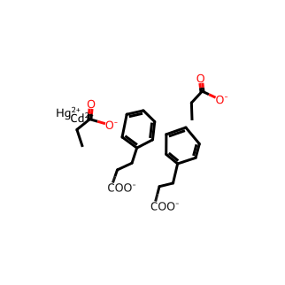 CCC(=O)[O-].CCC(=O)[O-].O=C([O-])CCc1ccccc1.O=C([O-])CCc1ccccc1.[Cd+2].[Hg+2]